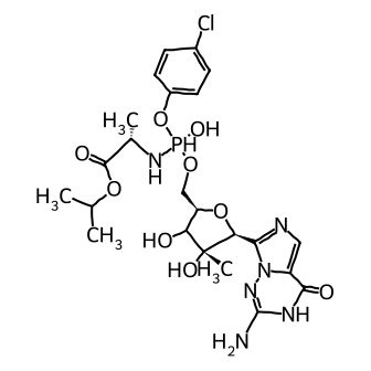 CC(C)OC(=O)[C@H](C)N[PH](O)(OC[C@H]1O[C@@H](c2ncc3c(=O)[nH]c(N)nn23)[C@](C)(O)C1O)Oc1ccc(Cl)cc1